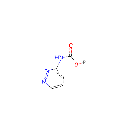 CCOC(=O)Nc1cccnn1